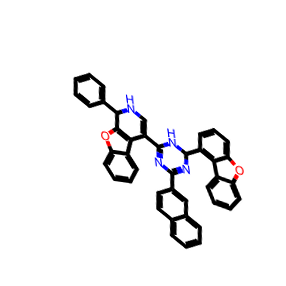 C1=C(C2=NC(c3ccc4ccccc4c3)=NC(c3cccc4oc5ccccc5c34)N2)c2c(oc3ccccc23)C(c2ccccc2)N1